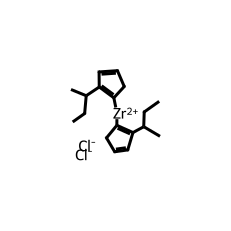 CCC(C)C1=[C]([Zr+2][C]2=C(C(C)CC)C=CC2)CC=C1.[Cl-].[Cl-]